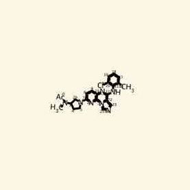 CC(=O)N(C)C1CCN(c2ccc3nc(Nc4c(C)cccc4Cl)c4cncn4c3n2)C1